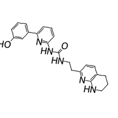 O=C(NCCc1ccc2c(n1)NCCC2)Nc1cccc(-c2cccc(O)c2)n1